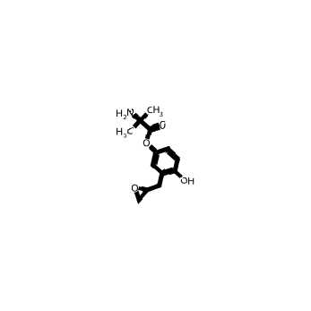 CC(C)(N)C(=O)Oc1ccc(O)c(CC2CO2)c1